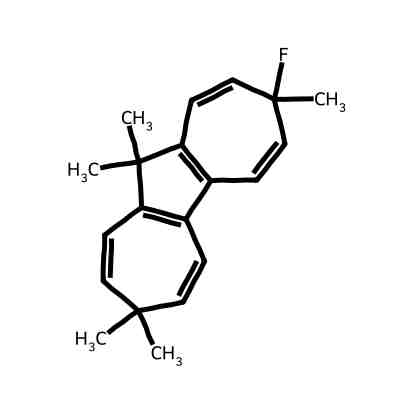 CC1(C)C=CC2=C(C=C1)C(C)(C)C1=C2C=CC(C)(F)C=C1